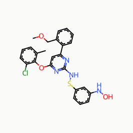 COCc1ccccc1-c1cc(Oc2c(C)cccc2Cl)nc(NSc2cccc(NO)c2)n1